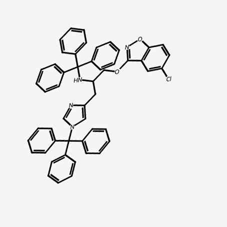 Clc1ccc2onc(OCC(Cc3cn(C(c4ccccc4)(c4ccccc4)c4ccccc4)cn3)NC(c3ccccc3)(c3ccccc3)c3ccccc3)c2c1